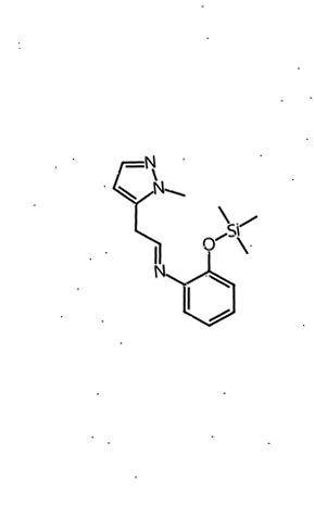 Cn1nccc1CC=Nc1ccccc1O[Si](C)(C)C